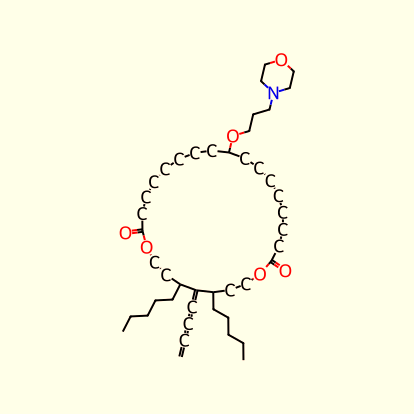 C=C=C=C=C1C(CCCCC)CCOC(=O)CCCCCCCC(OCCCN2CCOCC2)CCCCCCCC(=O)OCCC1CCCCC